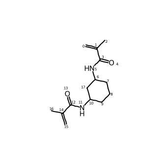 C=C(C)C(=O)NC1CCCC(NC(=O)C(=C)C)C1